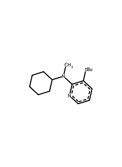 CN(c1ncccc1C(C)(C)C)C1CCCCC1